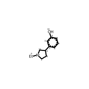 CCN1CCC(c2cccc(O)c2)C1